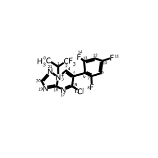 CC(C(F)(F)F)[N+]12C=C(c3c(F)cc(F)cc3F)C(Cl)=NC1=NC=N2